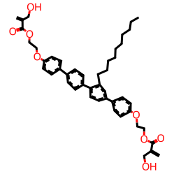 C=C(CO)C(=O)OCCOc1ccc(-c2ccc(-c3ccc(-c4ccc(OCCOC(=O)C(=C)CO)cc4)cc3CCCCCCCCCC)cc2)cc1